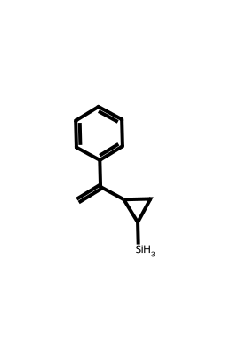 C=C(c1ccccc1)C1CC1[SiH3]